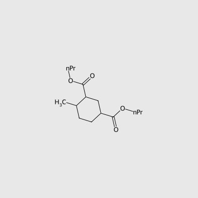 CCCOC(=O)C1CCC(C)C(C(=O)OCCC)C1